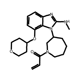 C=CC(=O)N1CCCCC(n2c(NC)nc3cccc(OC4CCOCC4)c32)C1